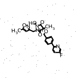 Cc1cc(CNC(=O)C(C)(OCc2ccc(-c3ccc(F)cn3)cc2)C(=O)NO)no1